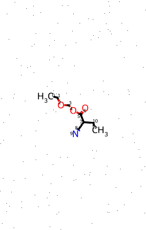 CCOCOC(=O)C(C#N)CC